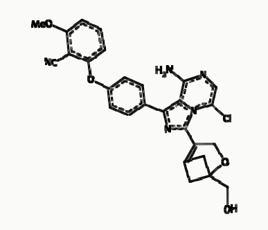 COc1cccc(Oc2ccc(-c3nc(C4=C5CC(CO)(C5)OC4)n4c(Cl)cnc(N)c34)cc2)c1C#N